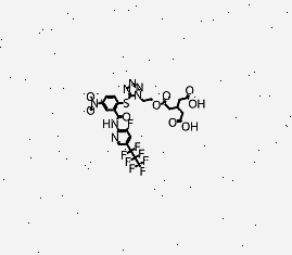 O=C(O)CC(CC(=O)O)CC(=O)OCCn1nnnc1Sc1ccc([N+](=O)[O-])cc1C(=O)Nc1ncc(C(F)(F)C(F)(F)C(F)(F)F)cc1F